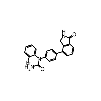 NC(=O)N(c1ccc(-c2cccc3c2CNC3=O)cc1)c1ccccc1Br